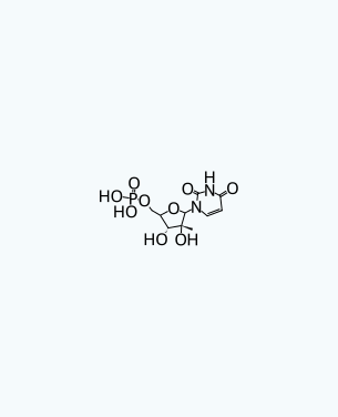 C[C@]1(O)C(n2ccc(=O)[nH]c2=O)OC(COP(=O)(O)O)[C@H]1O